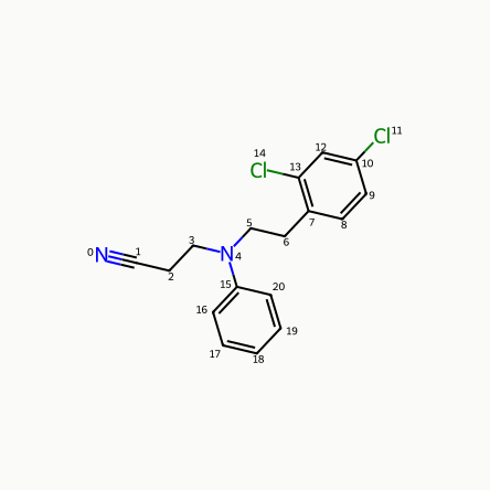 N#CCCN(CCc1ccc(Cl)cc1Cl)c1ccccc1